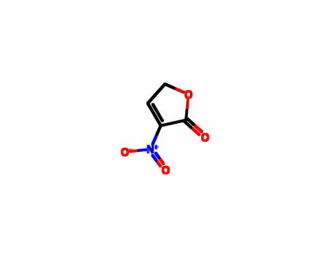 O=C1OCC=C1[N+](=O)[O-]